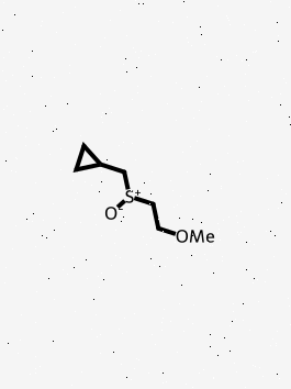 COCC[S+]([O-])CC1CC1